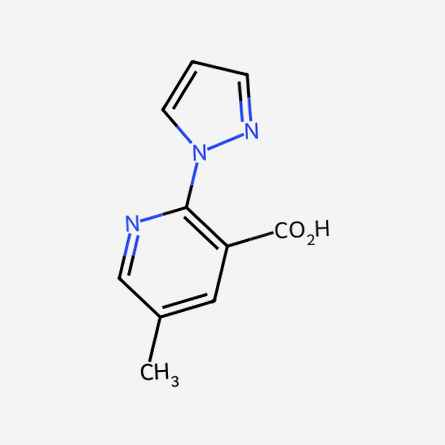 Cc1cnc(-n2cccn2)c(C(=O)O)c1